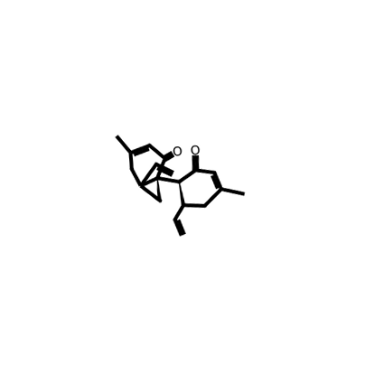 C=CC1CC(C)=CC(=O)[C@@H]1[C@]12CC1(C=C)CC(C)=CC2=O